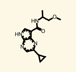 COCC(C)NC(=O)c1c[nH]c2ncc(C3CC3)nc12